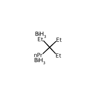 CCCC(CC)(CC)CC.[BiH3].[BiH3]